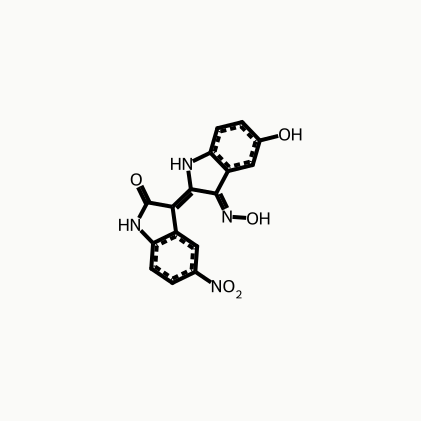 O=C1Nc2ccc([N+](=O)[O-])cc2/C1=C1/Nc2ccc(O)cc2/C1=N\O